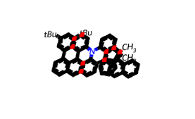 CC(C)(C)c1cc(-c2cccc3cccc(-c4ccccc4N(c4ccccc4-c4cccc5c4ccc4ccccc45)c4cccc5c4-c4ccccc4C5(C)C)c23)cc(C(C)(C)C)c1